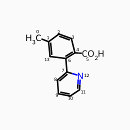 Cc1ccc(C(=O)O)c(-c2ccccn2)c1